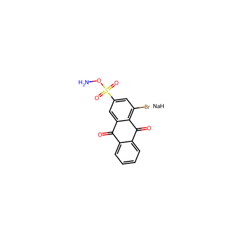 NOS(=O)(=O)c1cc(Br)c2c(c1)C(=O)c1ccccc1C2=O.[NaH]